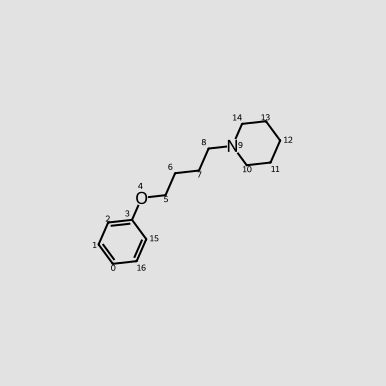 c1ccc(OCCCCN2CCCCC2)cc1